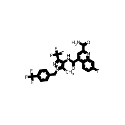 Cc1c(NC(=O)c2cc(C(N)=O)nc3cc(F)ccc23)c(C(F)(F)F)nn1Cc1ccc(C(F)(F)F)cc1